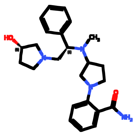 CN(C1CCN(c2ccccc2C(N)=O)C1)[C@H](CN1CC[C@H](O)C1)c1ccccc1